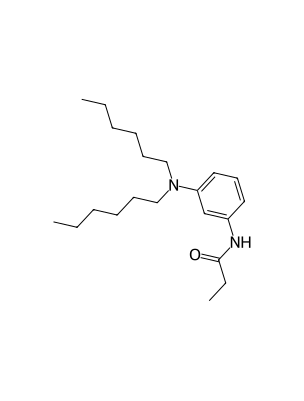 CCCCCCN(CCCCCC)c1cccc(NC(=O)CC)c1